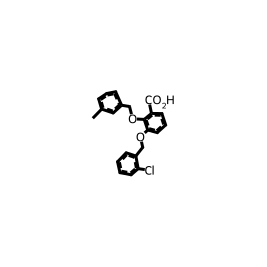 Cc1cccc(COc2c(OCc3ccccc3Cl)cccc2C(=O)O)c1